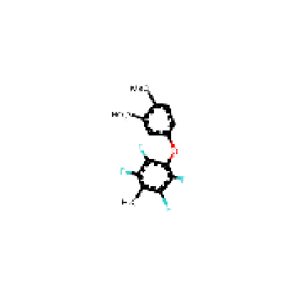 COc1ccc(Oc2c(F)c(F)c(C)c(F)c2F)cc1S(=O)(=O)O